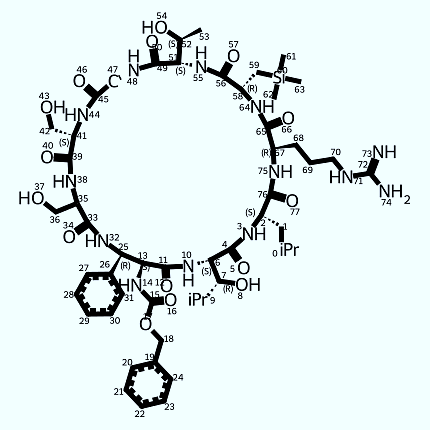 CC(C)C[C@@H]1NC(=O)[C@H]([C@H](O)C(C)C)NC(=O)[C@@H](NC(=O)OCc2ccccc2)[C@@H](c2ccccc2)NC(=O)C(CO)NC(=O)[C@H](CO)NC(=O)CNC(=O)[C@H]([C@H](C)O)NC(=O)[C@H](C[Si](C)(C)C)NC(=O)[C@@H](CCCNC(=N)N)NC1=O